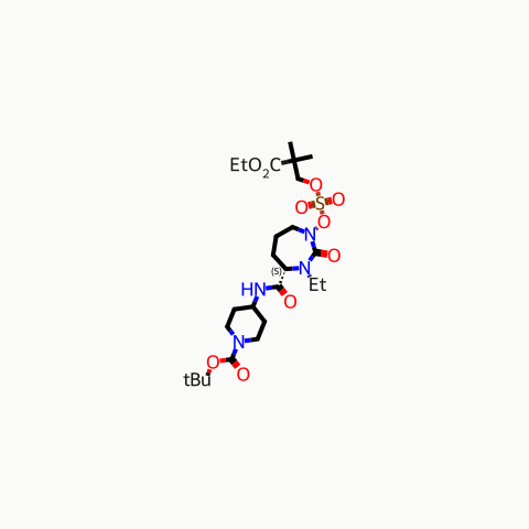 CCOC(=O)C(C)(C)COS(=O)(=O)ON1CCC[C@@H](C(=O)NC2CCN(C(=O)OC(C)(C)C)CC2)N(CC)C1=O